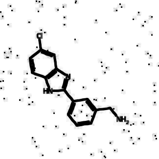 NCc1cccc(-c2nc3cc(Cl)ccc3[nH]2)c1